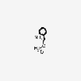 N.O=[PH2]OCCc1ccccc1